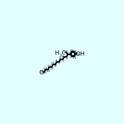 CCC(CCCCCCCCCCCCC=O)c1ccc(O)cc1